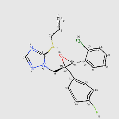 C=CCSc1ncnn1C[C@@]1(c2ccc(F)cc2)O[C@@H]1c1ccccc1Cl